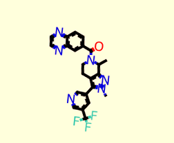 CC1c2nn(C)c(-c3cncc(C(F)(F)F)c3)c2CCN1C(=O)c1ccc2nccnc2c1